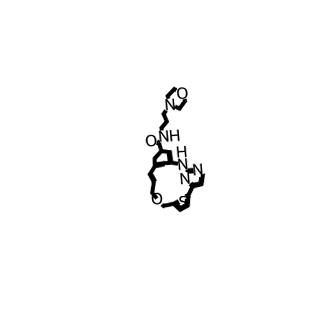 O=C(NCCCN1CCOCC1)C1C=C2C=C(/C=C/COCc3ccc(s3)-c3ccnc(n3)N2)C1